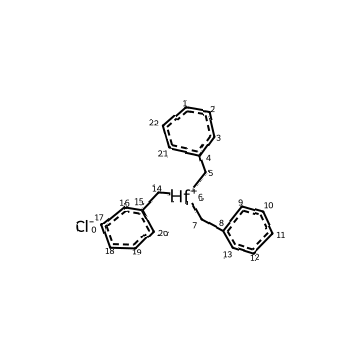 [Cl-].c1ccc([CH2][Hf+]([CH2]c2ccccc2)[CH2]c2ccccc2)cc1